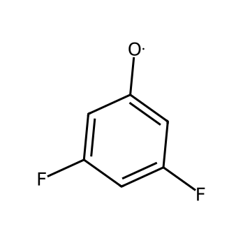 [O]c1cc(F)cc(F)c1